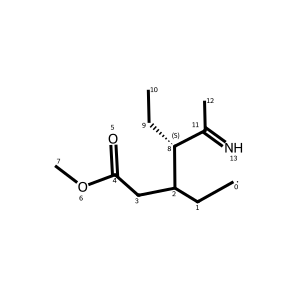 [CH2]CC(CC(=O)OC)[C@H](CC)C(C)=N